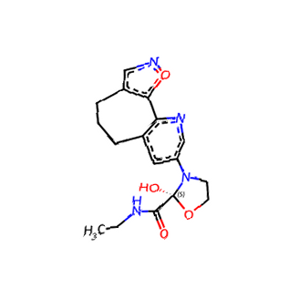 CCNC(=O)[C@]1(O)OCCN1c1cnc2c(c1)CCCc1cnoc1-2